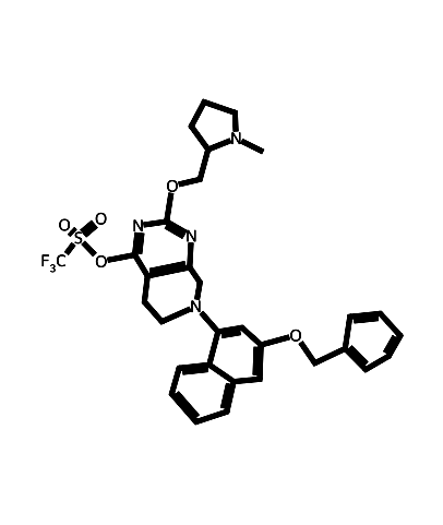 CN1CCCC1COc1nc2c(c(OS(=O)(=O)C(F)(F)F)n1)CCN(c1cc(OCc3ccccc3)cc3ccccc13)C2